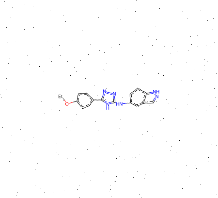 CCOc1ccc(-c2nnc(Nc3ccc4[nH]ncc4c3)[nH]2)cc1